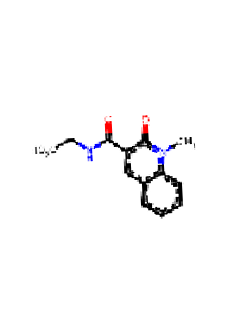 Cn1c(=O)c(C(=O)NCC(=O)O)cc2ccccc21